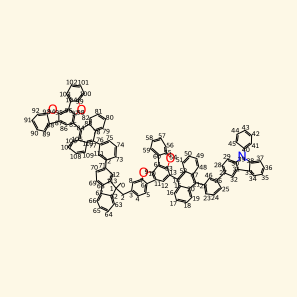 CC1(Cc2ccc3c(c2)oc2c3cc(-c3c4ccccc4c(-c4cccc(-c5ccc6c(c5)c5ccccc5n6-c5ccccc5)c4)c4ccccc34)c3oc4ccccc4c32)c2ccccc2-c2ccc(-c3cccc(-c4c5ccccc5c(-c5cc6c7ccccc7oc6c6c5oc5ccccc56)c5ccccc45)c3)cc21